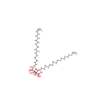 CCCCCCCCCCCCCCCCCCO[C@](O)(C(=O)O)[C@](O)(OCCCCCCCCCCCCCCCCCC)C(=O)O